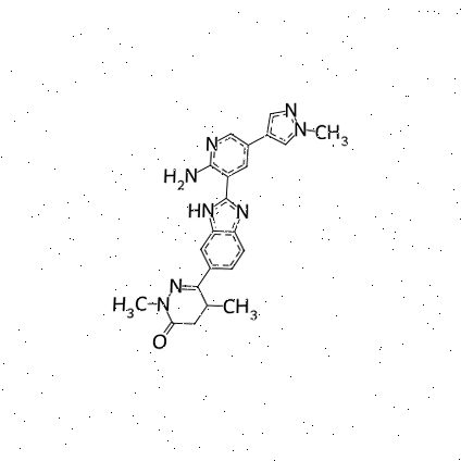 CC1CC(=O)N(C)N=C1c1ccc2nc(-c3cc(-c4cnn(C)c4)cnc3N)[nH]c2c1